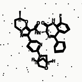 C[C@@H]1CCn2nc(-c3ccc(N4C[C@H]5C[C@@H]4CO5)nc3)c(C(=O)N[C@H]3N=C(c4ccccc4)c4cccc(F)c4NC3=O)c2O1